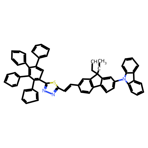 CCC1(CC)c2cc(/C=C/c3nnc(-c4cc(-c5ccccc5)c(-c5ccccc5)c(-c5ccccc5)c4-c4ccccc4)s3)ccc2-c2ccc(-n3c4ccccc4c4ccccc43)cc21